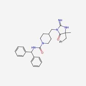 CC(C)CC1(C)NC(=N)N(CC2CCN(C(=O)NC(c3ccccc3)c3ccccc3)CC2)C1=O